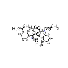 CO/N=C(/C(=O)OC)c1cccc(C)c1CO/N=C(\C)c1cccc(C(C)C)c1